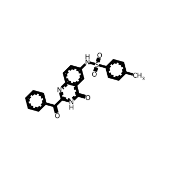 Cc1ccc(S(=O)(=O)Nc2ccc3nc(C(=O)c4ccccc4)[nH]c(=O)c3c2)cc1